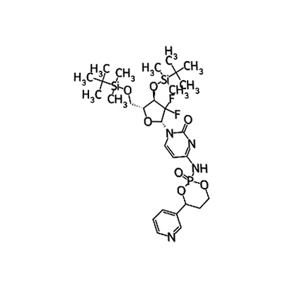 CC(C)(C)[Si](C)(C)OC[C@H]1O[C@@H](n2ccc(NP3(=O)OCCC(c4cccnc4)O3)nc2=O)C(F)(F)[C@@H]1O[Si](C)(C)C(C)(C)C